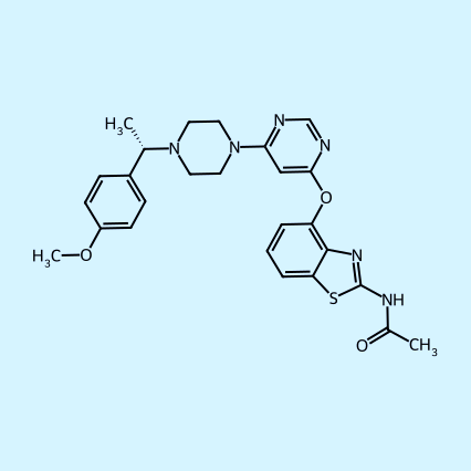 COc1ccc([C@H](C)N2CCN(c3cc(Oc4cccc5sc(NC(C)=O)nc45)ncn3)CC2)cc1